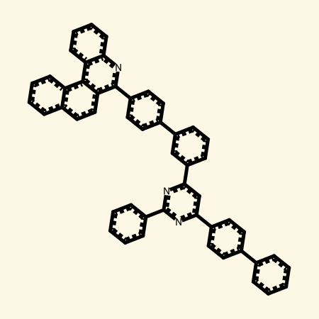 c1ccc(-c2ccc(-c3cc(-c4cccc(-c5ccc(-c6nc7ccccc7c7c6ccc6ccccc67)cc5)c4)nc(-c4ccccc4)n3)cc2)cc1